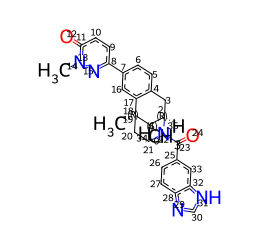 C[C@@H]1[C@H]2Cc3ccc(-c4ccc(=O)n(C)n4)cc3[C@]1(C)CCN2C(=O)c1ccc2nc[nH]c2c1